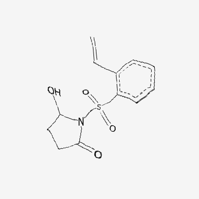 C=Cc1ccccc1S(=O)(=O)N1C(=O)CCC1O